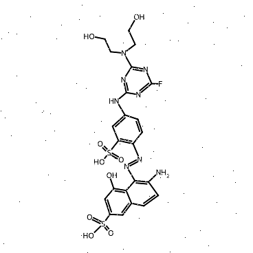 Nc1ccc2cc(S(=O)(=O)O)cc(O)c2c1/N=N/c1ccc(Nc2nc(F)nc(N(CCO)CCO)n2)cc1S(=O)(=O)O